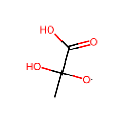 CC([O])(O)C(=O)O